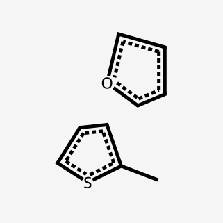 Cc1cccs1.c1ccoc1